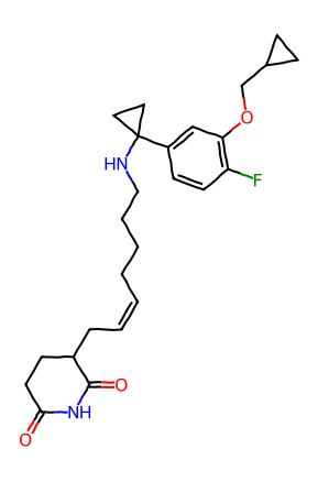 O=C1CCC(C/C=C\CCCCNC2(c3ccc(F)c(OCC4CC4)c3)CC2)C(=O)N1